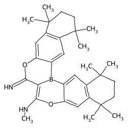 CNC1=C2B(c3cc4c(cc3OC2=N)C(C)(C)CCC4(C)C)c2cc3c(cc2O1)C(C)(C)CCC3(C)C